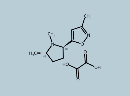 Cc1cc([C@H]2CC[C@H](C)N2C)on1.O=C(O)C(=O)O